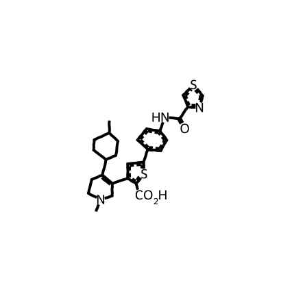 CC1CCC(C2=C(c3cc(-c4ccc(NC(=O)c5cscn5)cc4)sc3C(=O)O)CN(C)CC2)CC1